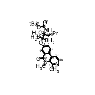 BC(B)(Oc1ccc2c(c1)c(=O)n(C)c1c(C)nccc21)C(C)(CC(C)C)NC(=O)OC(C)(C)C